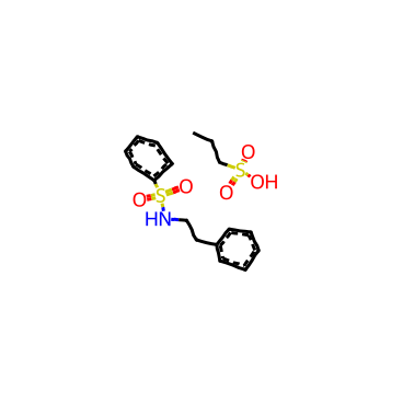 CCCS(=O)(=O)O.O=S(=O)(NCCc1ccccc1)c1ccccc1